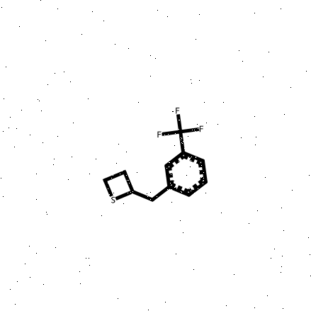 FC(F)(F)c1cccc(CC2CCS2)c1